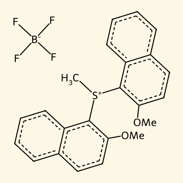 COc1ccc2ccccc2c1[S+](C)c1c(OC)ccc2ccccc12.F[B-](F)(F)F